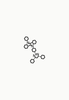 c1ccc(-c2cc(-c3ccccc3)nc(-c3ccc(-n4c5ccccc5c5c4c4ccccc4n5-c4ccccc4)cc3)n2)cc1